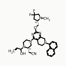 C=CC(O)N1CCN(c2nc(OC[C@@H]3CC(F)(F)CN3C)nc3c2CCN(c2cccc4ccccc24)C3)C[C@@H]1CC#N